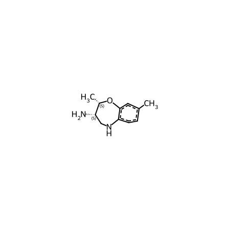 Cc1ccc2c(c1)O[C@@H](C)[C@@H](N)CN2